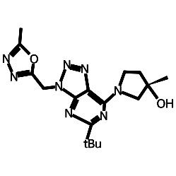 Cc1nnc(Cn2nnc3c(N4CC[C@](C)(O)C4)nc(C(C)(C)C)nc32)o1